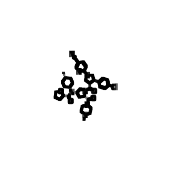 CN1CCN(C(=O)[C@@H]2C[C@H](N(C(=O)[C@@H]3CCCO3)[C@H]3CC[C@@H](C)CC3)CN2C(=O)[C@@H]2CN(c3ccc(C#N)cn3)C[C@H]2c2ccc(Cl)cc2)CC1